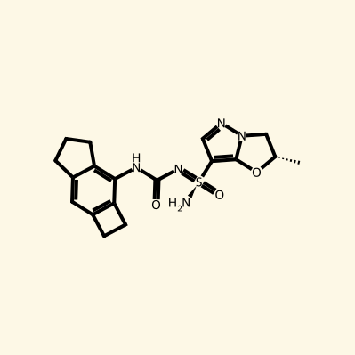 C[C@H]1Cn2ncc([S@](N)(=O)=NC(=O)Nc3c4c(cc5c3CC5)CCC4)c2O1